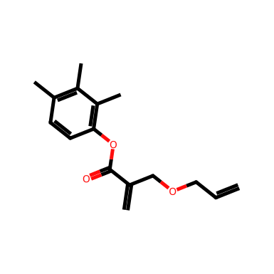 C=CCOCC(=C)C(=O)Oc1ccc(C)c(C)c1C